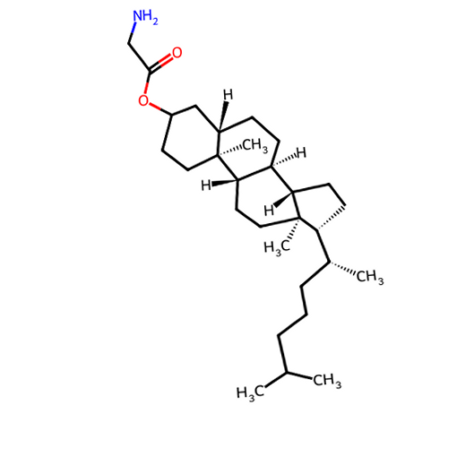 CC(C)CCC[C@@H](C)[C@H]1CC[C@H]2[C@@H]3CC[C@H]4CC(OC(=O)CN)CC[C@]4(C)[C@H]3CC[C@]12C